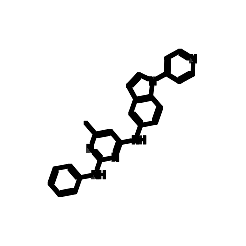 Cc1cc(Nc2ccc3c(ccn3-c3ccncc3)c2)nc(Nc2ccccc2)n1